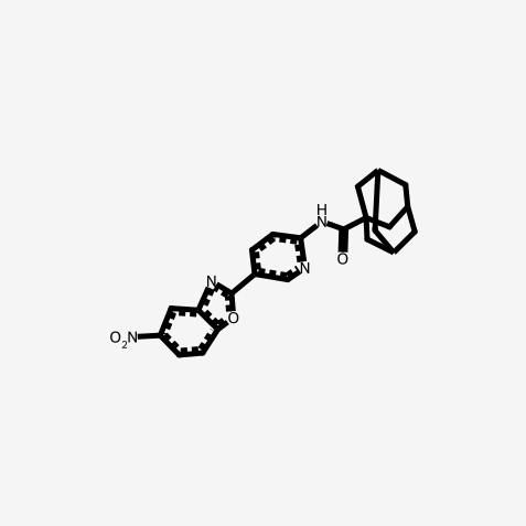 O=C(Nc1ccc(-c2nc3cc([N+](=O)[O-])ccc3o2)cn1)C12CC3CC(CC(C3)C1)C2